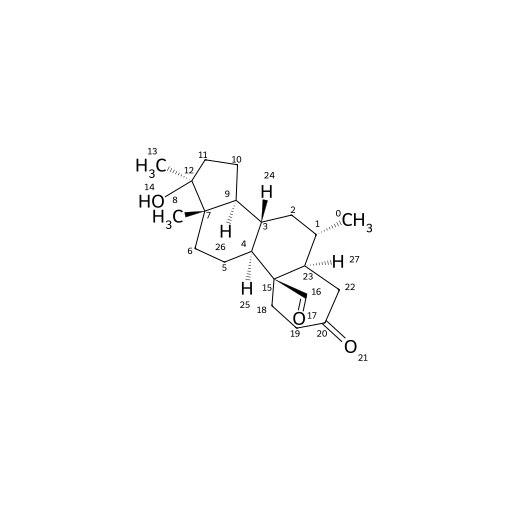 C[C@H]1C[C@@H]2[C@H](CC[C@@]3(C)[C@H]2CC[C@]3(C)O)[C@@]2(C=O)CCC(=O)C[C@H]12